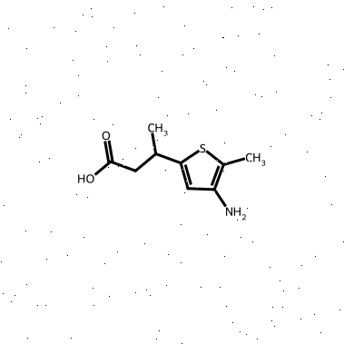 Cc1sc(C(C)CC(=O)O)cc1N